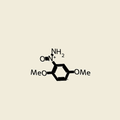 COc1[c]cc(OC)c([N+](N)=O)c1